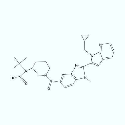 Cn1c(-c2cc3cccnc3n2CC2CC2)nc2cc(C(=O)N3CCCC(N(C(=O)O)C(C)(C)C)C3)ccc21